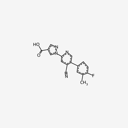 Cc1cc(-c2cnc(-n3cc(C(=O)O)cn3)cc2C#N)ccc1F